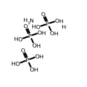 N.O=P(O)(O)O.O=P(O)(O)O.O=P(O)(O)O.[H]